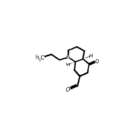 CCCN1CCC[C@H]2C(=O)CC(C=O)C[C@H]21